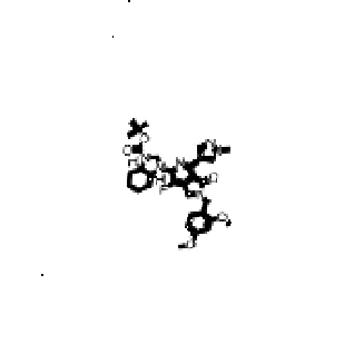 COc1ccc(CN2Cc3c(F)c(N4CN(C(=O)OC(C)(C)C)[C@H]5CCCC[C@H]54)nc(-c4cnn(C)c4)c3C2=O)c(OC)c1